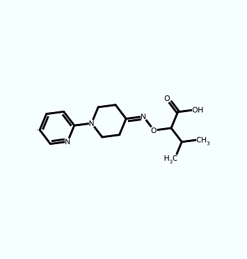 CC(C)C(ON=C1CCN(c2cc[c]cn2)CC1)C(=O)O